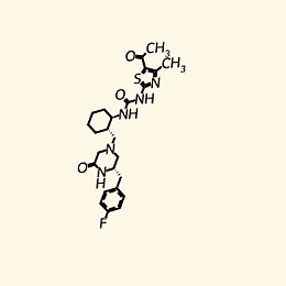 CC(=O)c1sc(NC(=O)N[C@@H]2CCCC[C@H]2CN2CC(=O)N[C@@H](Cc3ccc(F)cc3)C2)nc1C